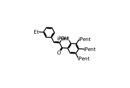 CCCC(C)c1cc(C(=O)C(O)=Cc2cccc(CC)c2)c(C(C)CCC)c(C(C)CCC)c1C(C)CCC